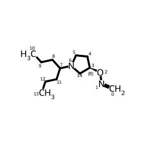 C=NO[C@@H]1CCN(C(CCC)CCC)C1